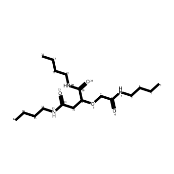 CCCCNC(=O)COC(CC(=O)NCCCC)C(=O)NCCCC